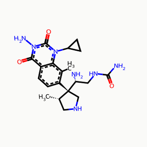 Cc1c([C@@]2([C@H](N)CNC(N)=O)CNC[C@@H]2C)ccc2c(=O)n(N)c(=O)n(C3CC3)c12